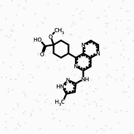 COC1(C(=O)O)CCC(c2nc(Nc3cc(C)[nH]n3)cc3nccnc23)CC1